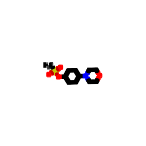 CS(=O)(=O)OC1CCC(N2CCOCC2)CC1